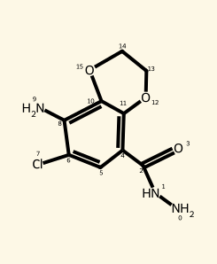 NNC(=O)c1cc(Cl)c(N)c2c1OCCO2